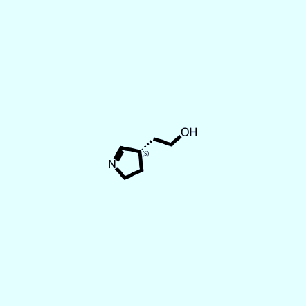 OCC[C@H]1C=NCC1